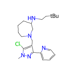 Cn1nc(-c2ccccn2)c(CN2CCCCC(NCCC(C)(C)C)C2)c1Cl